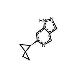 c1n[nH]c2cc([C@@H]3CC34CC4)ncc12